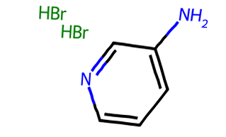 Br.Br.Nc1cccnc1